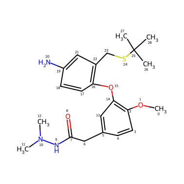 COc1ccc(CC(=O)NN(C)C)cc1Oc1ccc(N)cc1CSC(C)(C)C